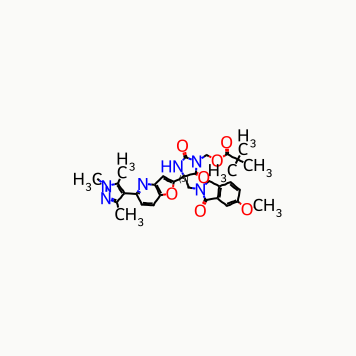 COc1ccc2c(c1)C(=O)N(C[C@@]1(c3cc4nc(-c5c(C)nn(C)c5C)ccc4o3)NC(=O)N(COC(=O)C(C)(C)C)C1=O)C2